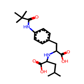 CC(C)CC(NC(Cc1ccc(NC(=O)C(C)(C)C)cc1)C(=O)O)C(=O)O